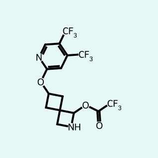 O=C(OC1NCC12CC(Oc1cc(C(F)(F)F)c(C(F)(F)F)cn1)C2)C(F)(F)F